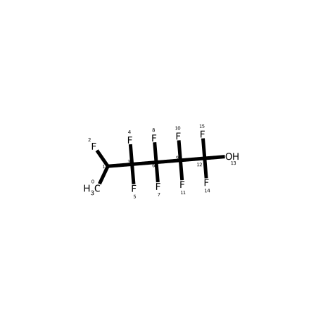 CC(F)C(F)(F)C(F)(F)C(F)(F)C(O)(F)F